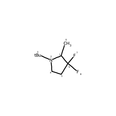 CC1N(C(C)(C)C)CCC1(F)F